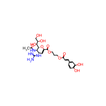 CC(=O)N[C@H]1[C@H]([C@H](O)[C@H](O)CO)OC(C(=O)OCCCOC(=O)/C=C/c2ccc(O)c(O)c2)=C[C@@H]1NC(=N)N